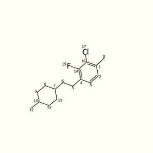 Cc1ccc(CCC2CCC(C)CC2)c(F)c1Cl